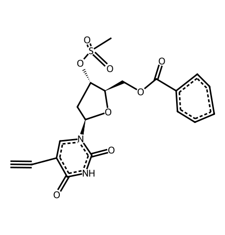 C#Cc1cn([C@H]2C[C@H](OS(C)(=O)=O)[C@@H](COC(=O)c3ccccc3)O2)c(=O)[nH]c1=O